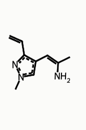 C=Cc1nn(C)cc1/C=C(/C)N